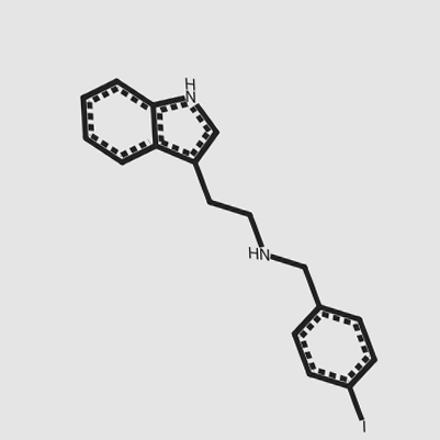 Ic1ccc(CNCCc2c[nH]c3ccccc23)cc1